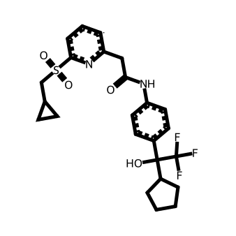 O=C(Cc1[c]ccc(S(=O)(=O)CC2CC2)n1)Nc1ccc(C(O)(C2CCCC2)C(F)(F)F)cc1